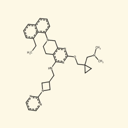 CCc1cccc2cccc(N3CCc4c(nc(OCC5(CN(C)C)CC5)nc4NCC4CN(c5ncccn5)C4)C3)c12